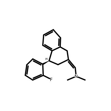 CN(C)C=C1Cc2ccccc2[C@H](c2ccccc2F)C1